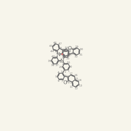 c1cc(-c2cccc3oc4c5ccccc5ccc4c23)cc(N(c2ccc3oc4ccccc4c3c2)c2ccccc2-n2c3ccccc3c3ccccc32)c1